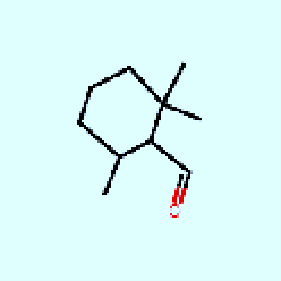 CC1CCCC(C)(C)[C]1C=O